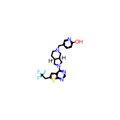 Oc1ccc(CN2CC[C@@H]3CN(c4ncnc5sc(CC(F)(F)F)cc45)C[C@@H]3C2)cn1